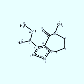 CN1CCCc2nnn(P(P)PP)c2C1=O